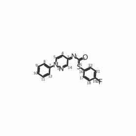 O=C(N=c1ccn(-c2ccccc2)nc1)Sc1ccc(F)cc1